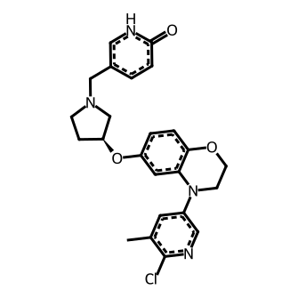 Cc1cc(N2CCOc3ccc(O[C@H]4CCN(Cc5ccc(=O)[nH]c5)C4)cc32)cnc1Cl